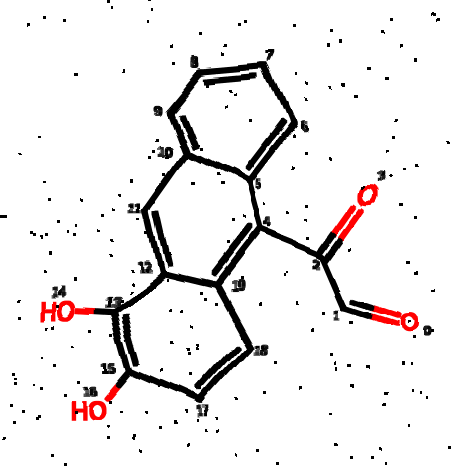 O=CC(=O)c1c2ccccc2cc2c(O)c(O)ccc12